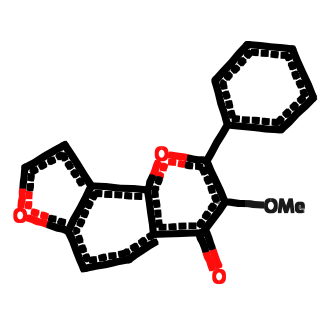 COc1c(-c2ccccc2)oc2c(ccc3occc32)c1=O